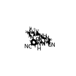 C[C@@H]1CN(c2cc(C#N)cc(Nc3nc(NC4CC4)c4ncc(C#N)n4n3)c2Cl)C[C@H](C)N1C